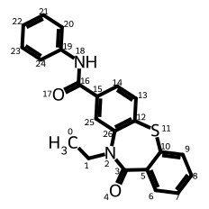 CCN1C(=O)c2ccccc2Sc2ccc(C(=O)Nc3ccccc3)cc21